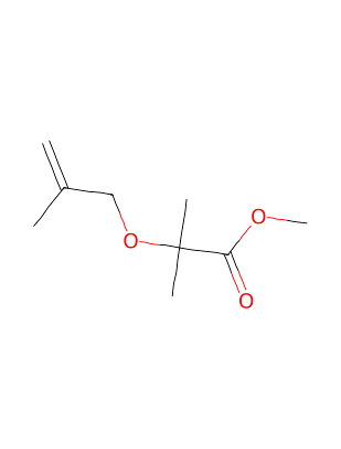 C=C(C)COC(C)(C)C(=O)OC